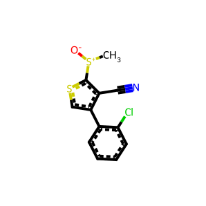 C[S+]([O-])c1scc(-c2ccccc2Cl)c1C#N